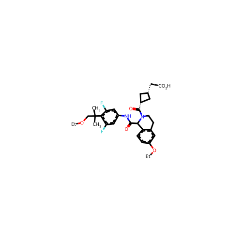 CCOCC(C)(C)c1c(F)cc(NC(=O)C2c3ccc(OCC)cc3CCN2C(=O)[C@H]2C[C@@H](CC(=O)O)C2)cc1F